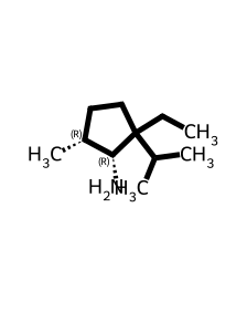 CCC1(C(C)C)CC[C@@H](C)[C@H]1N